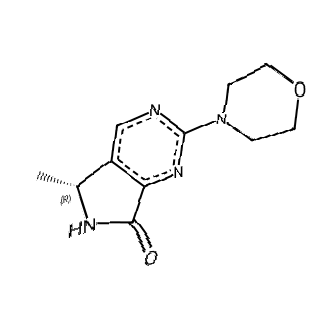 C[C@H]1NC(=O)c2nc(N3CCOCC3)ncc21